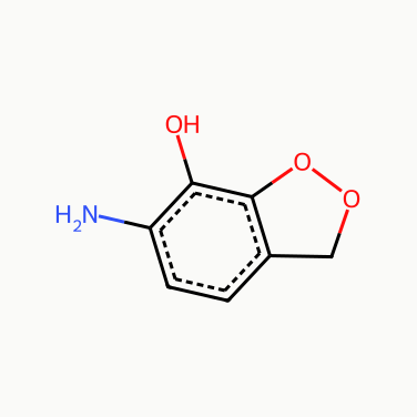 Nc1ccc2c(c1O)OOC2